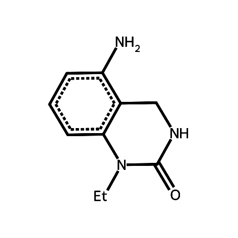 CCN1C(=O)NCc2c(N)cccc21